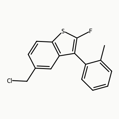 Cc1ccccc1-c1c(F)sc2ccc(CCl)cc12